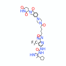 C/C(=C(\C=N)NC(=O)Nc1cnc(-c2noc(CCCCC(=O)N3CCN(c4ccc5c(c4)CN(C4CCC(=O)NC4=O)C5=O)CC3)n2)c(C(F)(F)F)c1)C1CCCC1